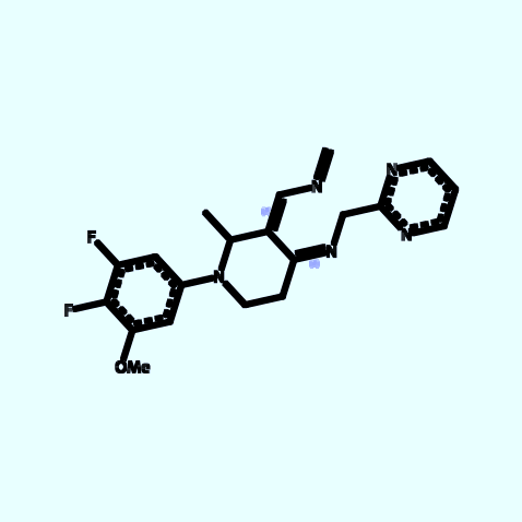 C=N/C=C1\C(=N/Cc2ncccn2)CCN(c2cc(F)c(F)c(OC)c2)C1C